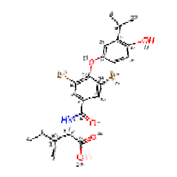 CC[C@H](C)[C@H](NC(=O)c1cc(Br)c(Oc2ccc(O)c(C(C)C)c2)c(Br)c1)C(=O)O